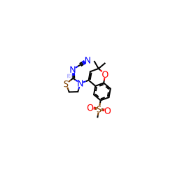 CC1(C)C=C(N2CCS/C2=N/C#N)c2cc(S(C)(=O)=O)ccc2O1